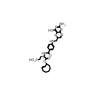 Nc1nc(O)c2nc(CNc3ccc(C(=O)N[C@H](CCC(=O)O)C(=O)OC4/C=C/CCCCC4)cc3)cnc2n1